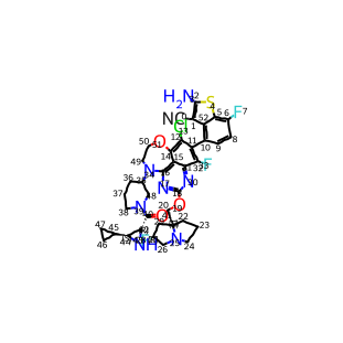 N#Cc1c(N)sc2c(F)ccc(-c3c(Cl)c4c5c(nc(OC[C@@]67CCCN6C[C@H](F)C7)nc5c3F)N(C3CCCN(C(=O)[C@@H]5N[C@H]5C5CC5)C3)CCO4)c12